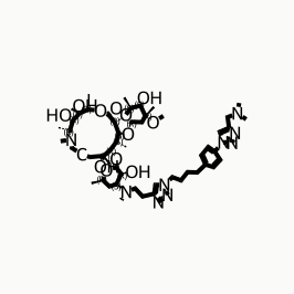 CO[C@]1(C)C[C@H](O[C@H]2[C@H](C)[C@@H](O[C@@H]3O[C@H](C)C[C@H](N(C)CCc4cn(CCCCc5ccc(-n6cc(CN(C)C)nn6)cc5)nn4)[C@H]3O)[C@](C)(O)CCCN(C)[C@H](C)[C@@H](O)[C@](C)(O)[C@@H](I)OC(=O)[C@@H]2C)O[C@@H](C)[C@@H]1O